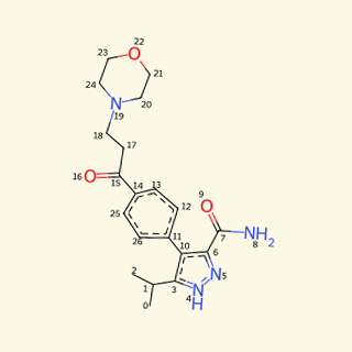 CC(C)c1[nH]nc(C(N)=O)c1-c1ccc(C(=O)CCN2CCOCC2)cc1